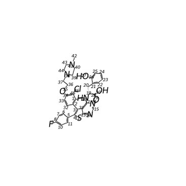 Cc1c(-c2c(-c3ccc(F)cc3)sc3ncnc(N[C@H](Cc4ccccc4O)C(=O)O)c23)ccc(OCCN2CCN(C)CC2)c1Cl